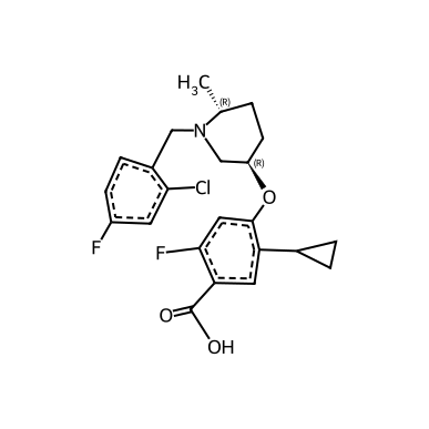 C[C@@H]1CC[C@@H](Oc2cc(F)c(C(=O)O)cc2C2CC2)CN1Cc1ccc(F)cc1Cl